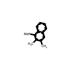 CNc1c(C)c(C)cc2ccccc12